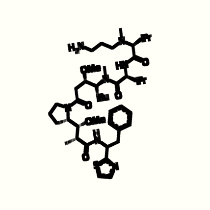 CC[C@H](C)[C@@H]([C@@H](CC(=O)N1CCC[C@H]1[C@H](OC)[C@@H](C)C(=O)NC(Cc1ccccc1)c1nccs1)OC)N(C)C(=O)[C@@H](NC(=O)[C@H](C(C)C)N(C)CCCN)C(C)C